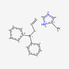 C=CCB(c1ccccc1)c1ccccc1.CC(C)c1cnc[nH]1